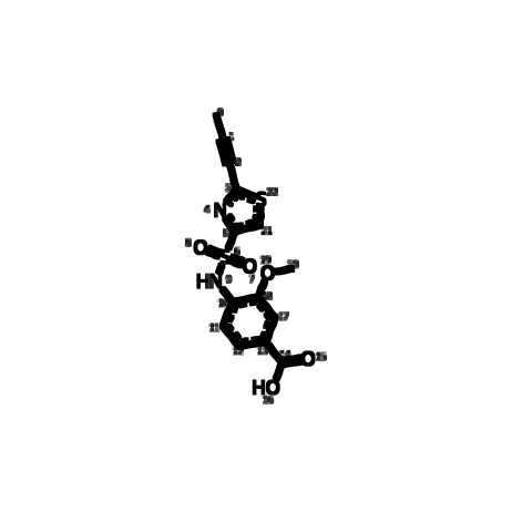 CC#Cc1nc(S(=O)(=O)Nc2ccc(C(=O)O)cc2OC)cs1